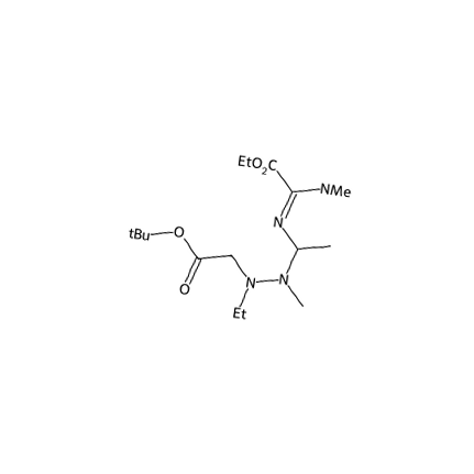 CCOC(=O)/C(=N/C(C)N(C)N(CC)CC(=O)OC(C)(C)C)NC